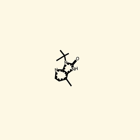 Cc1ccnc2c1[nH]c(=O)n2C(C)(C)C